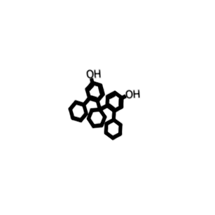 Oc1ccc(C2(c3ccc(O)cc3C3CCCCC3)CCCCC2)c(C2CCCCC2)c1